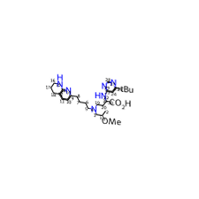 COC(C)CN(CCCCc1ccc2c(n1)NCCC2)CCC(Nc1cc(C(C)(C)C)ncn1)C(=O)O